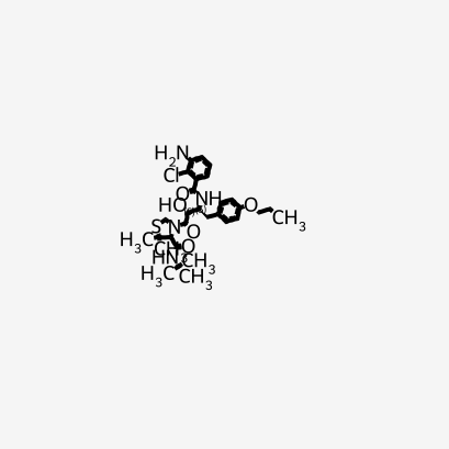 CCCOc1ccc(C[C@H](NC(=O)c2cccc(N)c2Cl)[C@H](O)C(=O)N2CSC(C)(C)C2C(=O)NC(C)(C)C)cc1